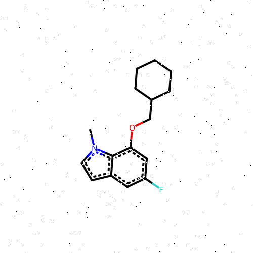 Cn1ccc2cc(F)cc(OCC3CCCCC3)c21